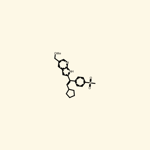 COCc1cnc2[nH]c(C(=CC3CCCC3)c3ccc(S(C)(=O)=O)cc3)cc2c1